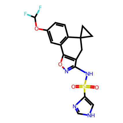 O=S(=O)(Nc1noc2c1CC1(CC1)c1ccc(OC(F)F)cc1-2)c1c[nH]cn1